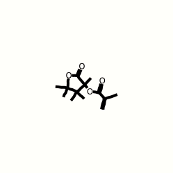 C=C(C)C(=O)OC1(C)C(=O)OC(C)(C)C1(C)C